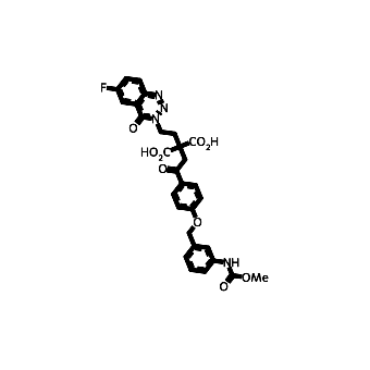 COC(=O)Nc1cccc(COc2ccc(C(=O)CC(CCn3nnc4ccc(F)cc4c3=O)(C(=O)O)C(=O)O)cc2)c1